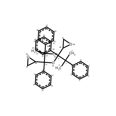 CC(C)(c1ccccc1)C(OC(c1ccccc1)(C1CO1)C(C)(C)c1ccccc1)(c1ccccc1)C1CO1